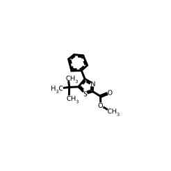 COC(=O)c1nc(-c2ccccc2)c(C(C)(C)C)s1